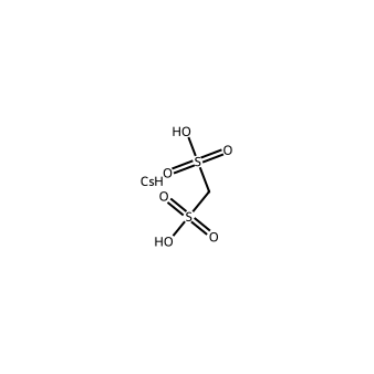 O=S(=O)(O)CS(=O)(=O)O.[CsH]